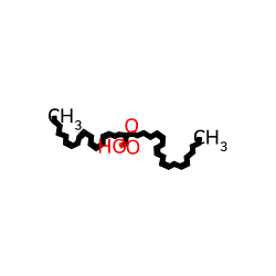 CCCCC/C=C\C/C=C\C/C=C\C/C=C\CCCC(=O)C(CC/C=C\C/C=C\C/C=C\C/C=C\CCCCC)C(=O)O